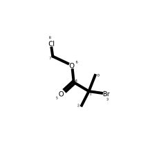 CC(C)(Br)C(=O)OCCl